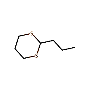 CCCC1SCCCS1